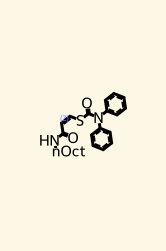 CCCCCCCCNC(=O)/C=C\SC(=O)N(c1ccccc1)c1ccccc1